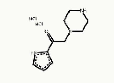 Cl.Cl.O=C(CN1CCNCC1)c1ccc[nH]1